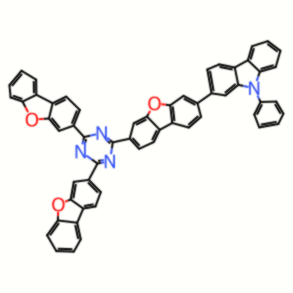 c1ccc(-n2c3ccccc3c3ccc(-c4ccc5c(c4)oc4cc(-c6nc(-c7ccc8c(c7)oc7ccccc78)nc(-c7ccc8c(c7)oc7ccccc78)n6)ccc45)cc32)cc1